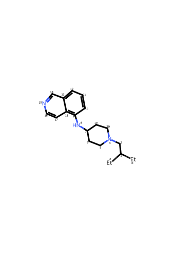 CCC(CC)CN1CCC(Nc2cccc3cnccc23)CC1